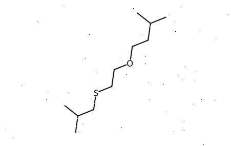 CC(C)CCOCCSCC(C)C